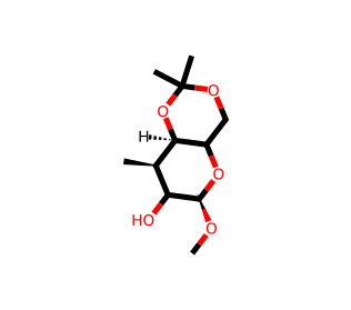 CO[C@@H]1OC2COC(C)(C)O[C@@H]2[C@H](C)C1O